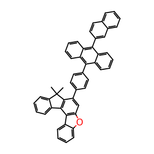 CC1(C)c2ccccc2-c2c1c(-c1ccc(-c3c4ccccc4c(-c4ccc5ccccc5c4)c4ccccc34)cc1)cc1oc3ccccc3c21